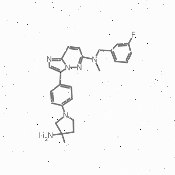 CN(Cc1cccc(F)c1)c1ccc2ncc(-c3ccc(N4CCC(C)(N)C4)cc3)n2n1